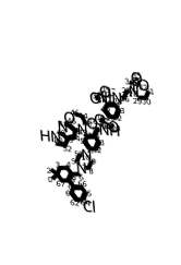 CC1(C)CCC(CN2CCN(c3ccc(C(=O)NS(=O)(=O)c4ccc(NCCN5CCCOP5(C)=O)c([N+](=O)[O-])c4)c(N4CCCOc5nc6[nH]ccc6cc54)c3)CC2)=C(c2ccc(Cl)cc2)C1